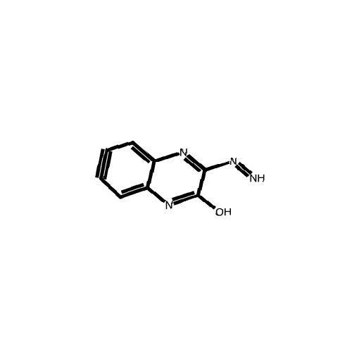 N=Nc1nc2cc#ccc2nc1O